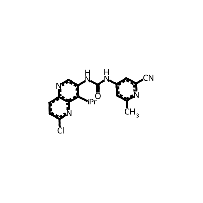 Cc1cc(NC(=O)Nc2cnc3ccc(Cl)nc3c2C(C)C)cc(C#N)n1